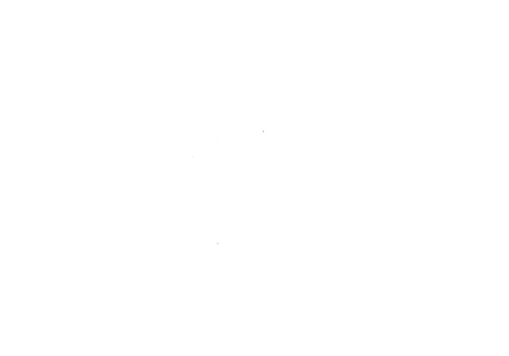 CC(C)C(=O)N[C@H](CSCC(C)(C)C)C(=O)O